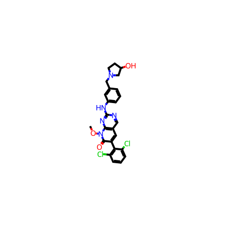 COn1c(=O)c(-c2c(Cl)cccc2Cl)cc2cnc(Nc3cccc(CN4CCC(O)C4)c3)nc21